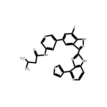 CC(C)CC(=O)Nc1cncc(-c2cc(F)c3[nH]nc(-c4nc5c(-c6ccsc6)nccc5[nH]4)c3c2)c1